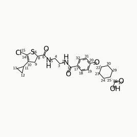 O=C(NCCNC(=O)C1CC(C2CC2)=C(Cl)S1)c1ccc(O[C@H]2CC[C@@H](C(=O)O)CC2)cc1